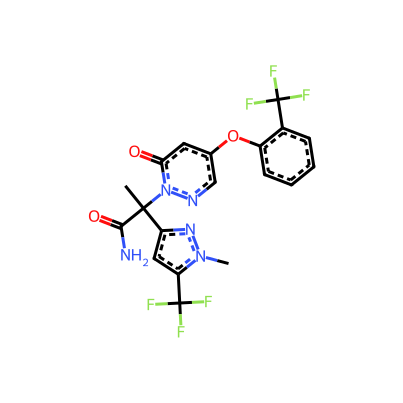 Cn1nc(C(C)(C(N)=O)n2ncc(Oc3ccccc3C(F)(F)F)cc2=O)cc1C(F)(F)F